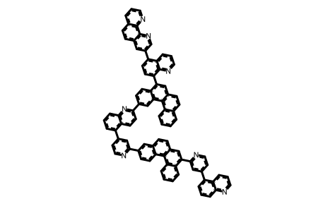 c1ccc2c(c1)ccc1cc(-c3ccc(-c4cnc5c(ccc6cccnc65)c4)c4cccnc34)c3ccc(-c4ccc5c(-c6ccnc(-c7ccc8c(ccc9cc(-c%10cc(-c%11cccc%12ncccc%11%12)ccn%10)c%10ccccc%10c98)c7)c6)cccc5n4)cc3c12